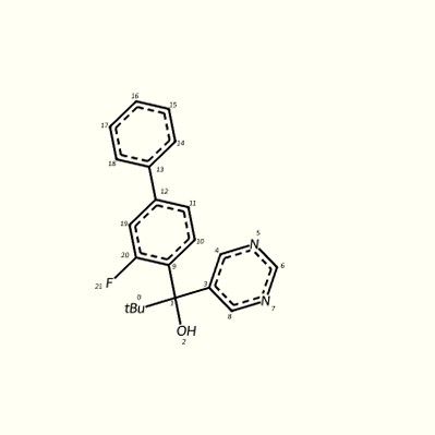 CC(C)(C)C(O)(c1cncnc1)c1ccc(-c2ccccc2)cc1F